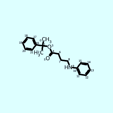 CC(C)(OC(=O)CCCNc1ccccc1)c1ccccc1